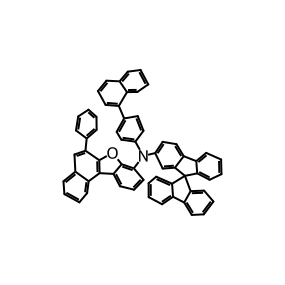 c1ccc(-c2cc3ccccc3c3c2oc2c(N(c4ccc(-c5cccc6ccccc56)cc4)c4ccc5c(c4)C4(c6ccccc6-c6ccccc64)c4ccccc4-5)cccc23)cc1